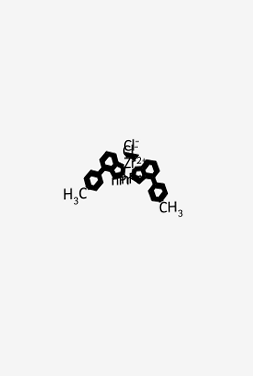 CCCC1=Cc2c(-c3ccc(C)cc3)cccc2[CH]1[Zr+2]1([CH]2C(CCC)=Cc3c(-c4ccc(C)cc4)cccc32)[CH2][CH2]1.[Cl-].[Cl-]